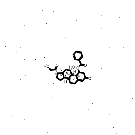 C[C@]12C[C@H](O)[C@H]3[C@@H](CCC4=CC(=O)CC(OC(=O)c5ccccc5)[C@@]43C)[C@@H]1CC[C@@H]2C(=O)CO